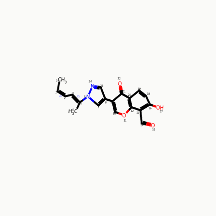 C/C=C\C=C(/C)n1cc(-c2coc3c(C=O)c(O)ccc3c2=O)cn1